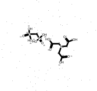 O=C(O)CN(CC(=O)O)CC(=O)O.O=P(O)(O)CP(=O)(O)O